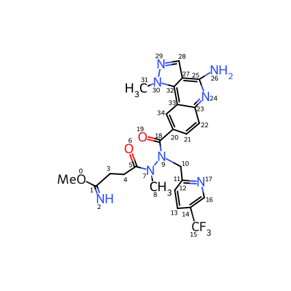 COC(=N)CCC(=O)N(C)N(Cc1ccc(C(F)(F)F)cn1)C(=O)c1ccc2nc(N)c3cnn(C)c3c2c1